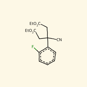 CCOC(=O)CC(C#N)(CC(=O)OCC)c1ccccc1F